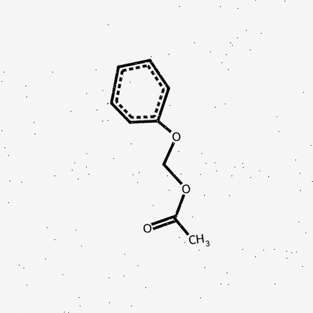 CC(=O)OCOc1c[c]ccc1